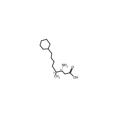 C[C@@H](CCCCC1CCCCC1)[C@H](N)CC(=O)O